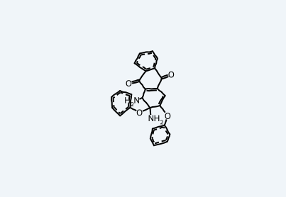 NC1C2=C(C=C(Oc3ccccc3)C1(N)Oc1ccccc1)C(=O)c1ccccc1C2=O